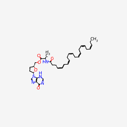 CC/C=C\C/C=C\C/C=C\C/C=C\C/C=C\C/C=C\CCC(=O)NC(C)C(=O)OC[C@@H]1CC[C@H](n2cnc3c(=O)nc[nH]c32)O1